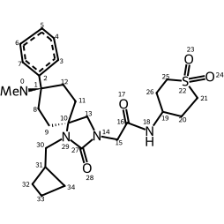 CN[C@]1(c2ccccc2)CC[C@]2(CC1)CN(CC(=O)NC1CCS(=O)(=O)CC1)C(=O)N2CC1CCC1